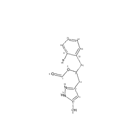 O=COC(Cc1cc(O)[nH]n1)Cc1ccccc1F